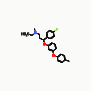 Cc1ccc(Oc2cccc(OC(CCN(C)CC(=O)O)c3ccc(F)cc3)c2)cc1